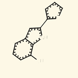 Cc1cccc2cc(-c3cccs3)[nH]c12